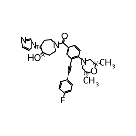 C[C@@H]1CN(c2ccc(C(=O)N3CC[C@H](O)[C@@H](n4ccnc4)CC3)cc2C#Cc2ccc(F)cc2)C[C@H](C)O1